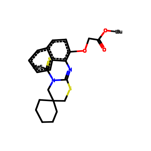 CSC(=S)N1CC2(CCCCC2)CS/C1=N/c1c(OCC(=O)OC(C)(C)C)ccc2ccccc12